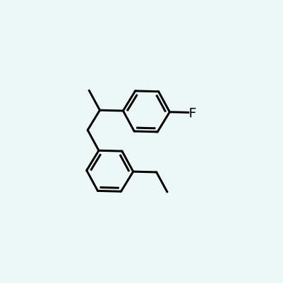 CCc1cccc(CC(C)c2ccc(F)cc2)c1